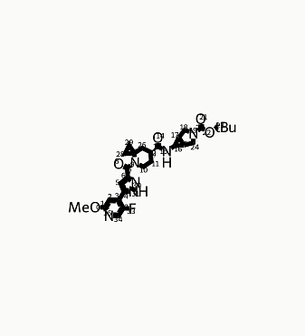 COc1cc(-c2cc(C(=O)N3CC[C@H](C(=O)NC4C5CN(C(=O)OC(C)(C)C)CC54)CC34CC4)n[nH]2)c(F)cn1